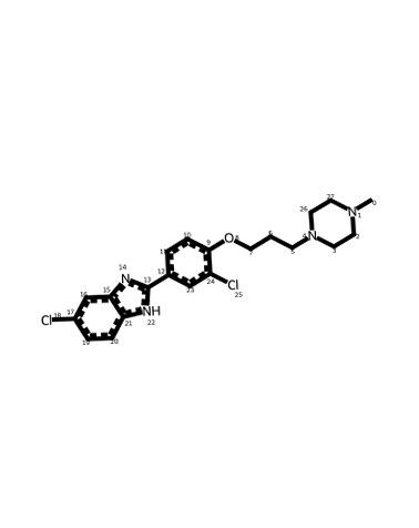 CN1CCN(CCCOc2ccc(-c3nc4cc(Cl)ccc4[nH]3)cc2Cl)CC1